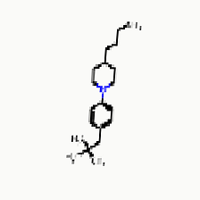 CCCCC1CCN(c2ccc(CC(C)(C)C)cc2)CC1